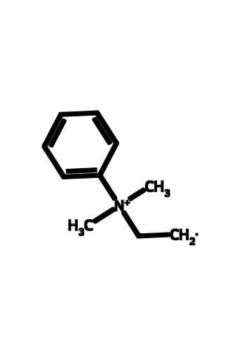 [CH2]C[N+](C)(C)c1ccccc1